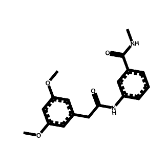 CNC(=O)c1cccc(NC(=O)Cc2cc(OC)cc(OC)c2)c1